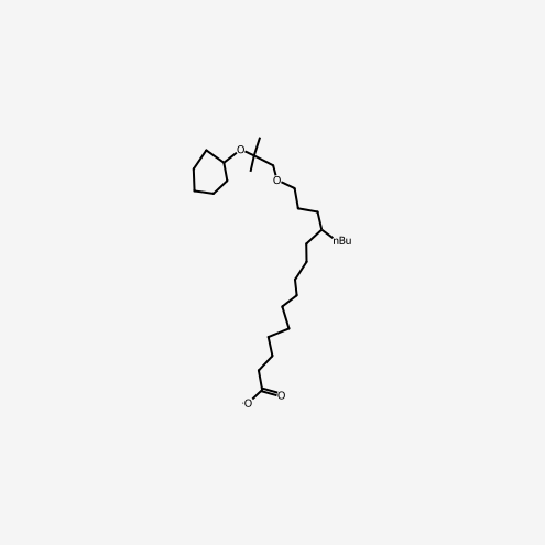 CCCCC(CCCCCCCCCC([O])=O)CCCOCC(C)(C)OC1CCCCC1